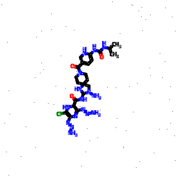 CC(C)NC(=O)NC1=CC=C(C(=O)N2CCC3(CC2)CN(N)C(NC(=O)C2NC(Cl)=C(N=NN)N=C2N=NN)N3)CN1